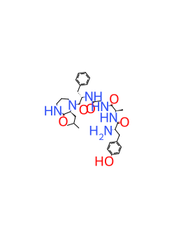 CC(C)C[C@H]1C(=O)NCCCN1C(=O)[C@H](Cc1ccccc1)NC(=O)CNC(=O)[C@@H](C)NC(=O)[C@@H](N)Cc1ccc(O)cc1